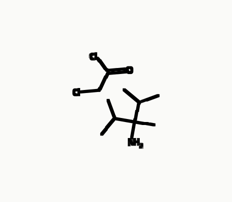 CC(C)C(C)(N)C(C)C.O=C(Cl)CCl